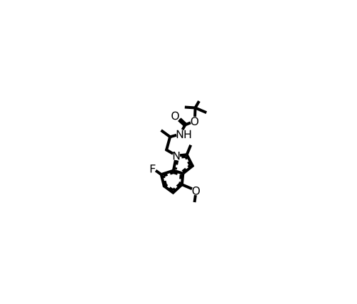 COc1ccc(F)c2c1cc(C)n2CC(C)NC(=O)OC(C)(C)C